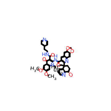 CCn1c(NC(=O)c2cc3cc4c(cc3nc2C2(CC)CCC(=O)c3ncccc32)OCO4)c(C(=O)NCCc2ccncc2)c(=O)c2cc(OC)c(OC)cc21